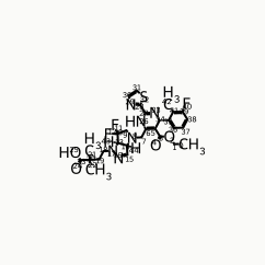 CCOC(=O)C1=C(CN2CC(F)(F)[C@@H]3[C@H]2C=NN3CCC(C)(C)C(=O)O)NC(c2nccs2)=N[C@H]1c1cccc(F)c1C